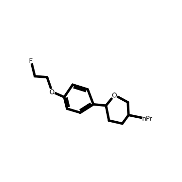 CCCC1CCC(c2ccc(OCCF)cc2)OC1